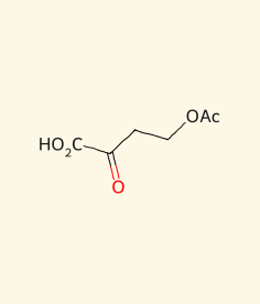 CC(=O)OCCC(=O)C(=O)O